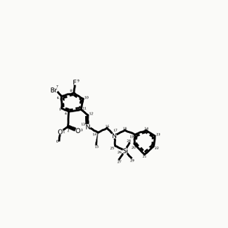 COC(=O)c1cc(Br)c(F)cc1/C=N/[C@H](C)CN(Cc1ccccc1)C[Si](C)(C)C